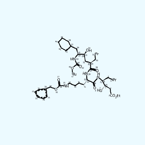 CCOC(=O)C[C@H](O)[C@H](CC(C)C)NC(=O)[C@H](CCCCNC(=O)OCc1ccccc1)NC(=O)[C@H](CC(C)C)C[C@H](O)[C@H](CC1CCCCC1)NC(=O)OC(C)(C)C